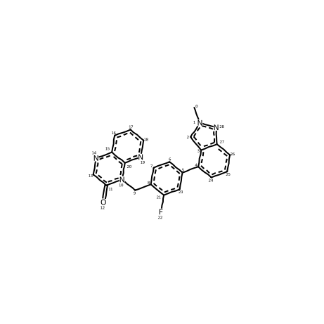 Cn1cc2c(-c3ccc(Cn4c(=O)cnc5cccnc54)c(F)c3)cccc2n1